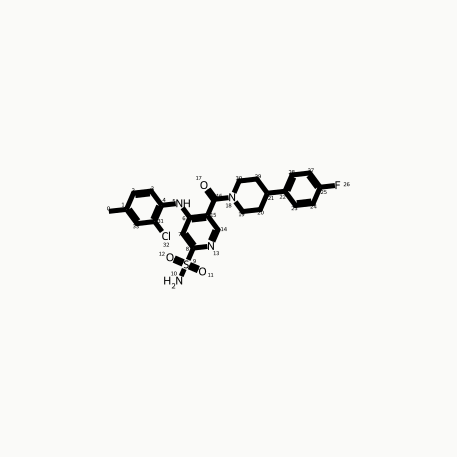 Cc1ccc(Nc2cc(S(N)(=O)=O)ncc2C(=O)N2CCC(c3ccc(F)cc3)CC2)c(Cl)c1